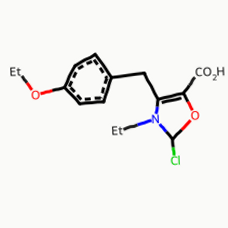 CCOc1ccc(CC2=C(C(=O)O)OC(Cl)N2CC)cc1